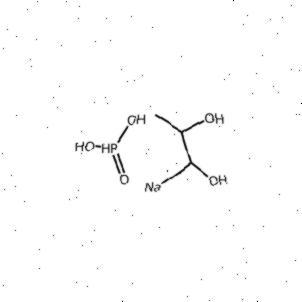 CC(O)[CH](O)[Na].O=[PH](O)O